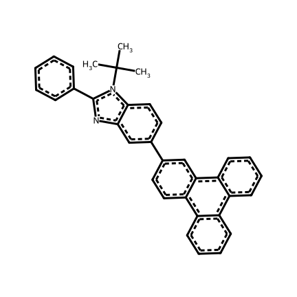 CC(C)(C)n1c(-c2ccccc2)nc2cc(-c3ccc4c5ccccc5c5ccccc5c4c3)ccc21